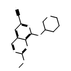 CSc1ncc2cc(C#N)nc(NC3CCCOC3)c2n1